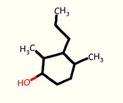 CCCC1C(C)CCC(O)C1C